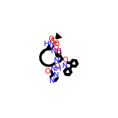 O=C(N[C@H]1CCCCC/C=C\C2C[C@@]2(C(=O)NS(=O)(=O)C2CC2)NC(=O)[C@@H]2C[C@@H](Oc3nc4ccccc4c4ccccc34)CN2C1=O)c1cnccn1